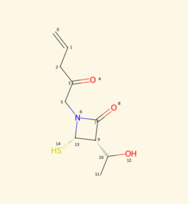 C=CCC(=O)CN1C(=O)[C@H](C(C)O)[C@@H]1S